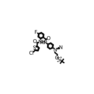 CC(C)(C)[Si](C)(C)OCCN(C#N)c1ccc(NC(=O)c2ccc(F)cc2NC(=O)c2ccc(Cl)s2)cc1